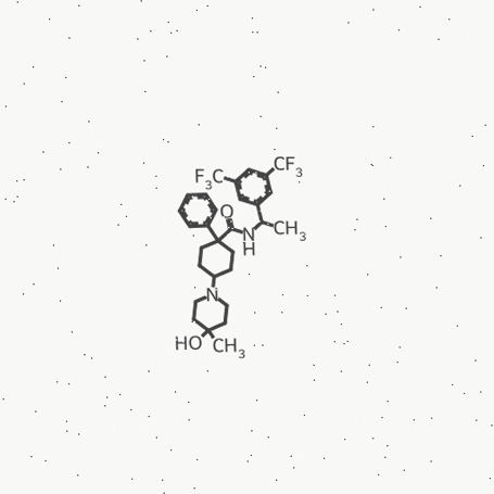 CC(NC(=O)C1(c2ccccc2)CCC(N2CCC(C)(O)CC2)CC1)c1cc(C(F)(F)F)cc(C(F)(F)F)c1